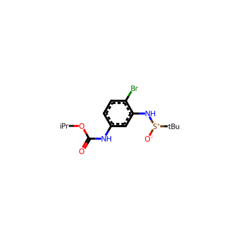 CC(C)OC(=O)Nc1ccc(Br)c(N[S+]([O-])C(C)(C)C)c1